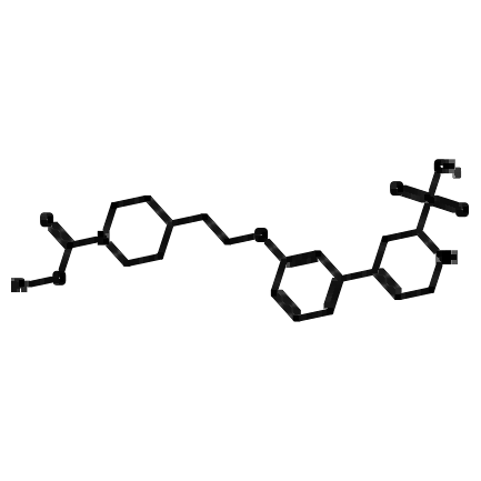 CC(C)OC(=O)N1CCC(CCOc2cccc(C3=CCNC(S(C)(=O)=O)C3)c2)CC1